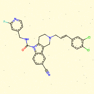 N#Cc1ccc2c(c1)c1c(n2C(=O)NCc2ccnc(F)c2)CCN(CC=Cc2ccc(Cl)c(Cl)c2)C1